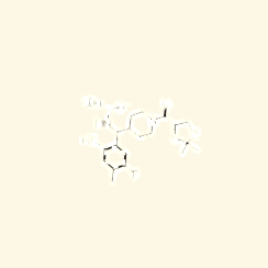 Cc1cc(O)c(C(N[S@@+]([O-])C(C)(C)C)C2CCN(C(=O)[C@H]3COC(C)(C)O3)CC2)cc1F